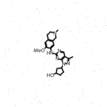 COc1cc2c(cc1Nc1ncc3c(C)nn(C4CCC(O)C4)c3n1)CN(C)CC2